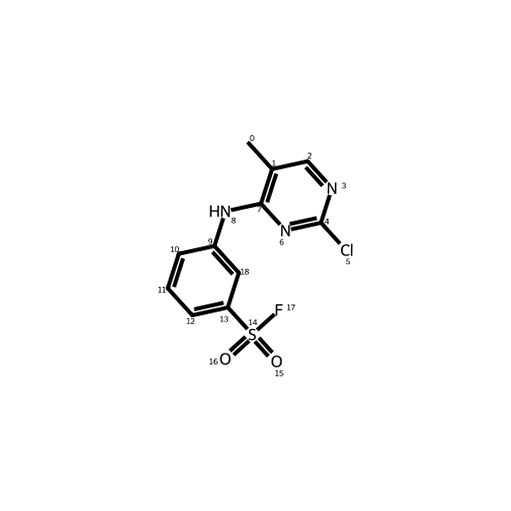 Cc1cnc(Cl)nc1Nc1cccc(S(=O)(=O)F)c1